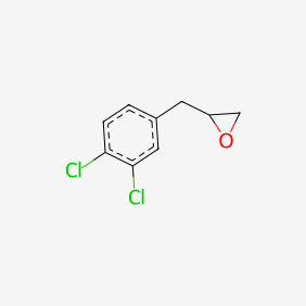 Clc1ccc(CC2CO2)cc1Cl